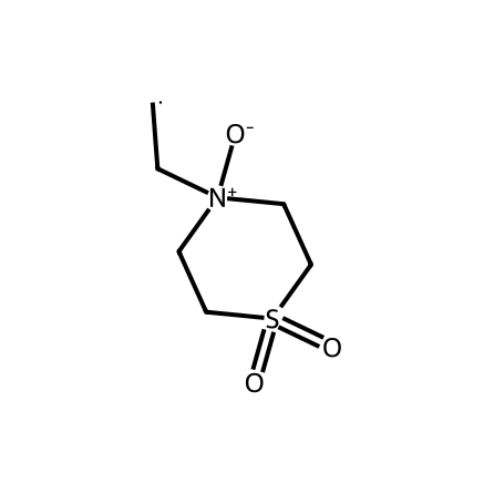 [CH2]C[N+]1([O-])CCS(=O)(=O)CC1